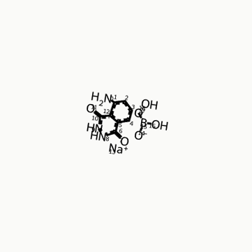 Nc1cccc2c(=O)[nH][nH]c(=O)c12.[Na+].[O-]B(O)OO